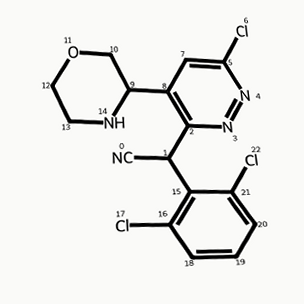 N#CC(c1nnc(Cl)cc1C1COCCN1)c1c(Cl)cccc1Cl